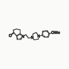 COc1ccc(N2CCN(CCn3ccc4c3CCCC4=O)CC2)cc1